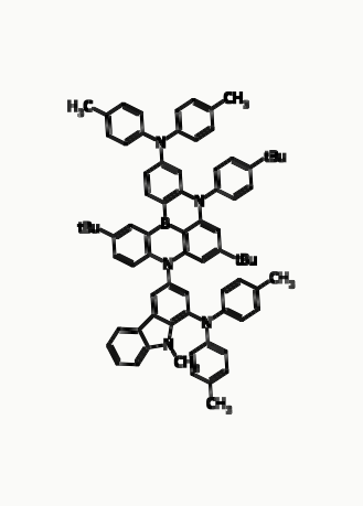 Cc1ccc(N(c2ccc(C)cc2)c2ccc3c(c2)N(c2ccc(C(C)(C)C)cc2)c2cc(C(C)(C)C)cc4c2B3c2cc(C(C)(C)C)ccc2N4c2cc(N(c3ccc(C)cc3)c3ccc(C)cc3)c3c(c2)c2ccccc2n3C)cc1